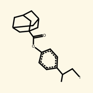 CC(CI)c1ccc(OC(=O)C23CC4CC(CC(C4)C2)C3)cc1